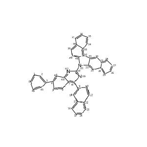 c1ccc(-c2ccc3c(-c4ccc5ccccc5c4)nc(-n4c5cc6ccccc6cc5c5c6ccccc6ccc54)nc3c2)cc1